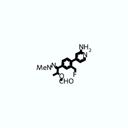 CN/N=C(/c1ccc(-c2ccnc(N)c2)c(CF)c1)C(C)OC=O